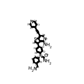 NCc1cccc(N(C(N)=O)c2ccc(-c3csc4c(C#Cc5ccncc5)cnc(N)c34)cc2)c1